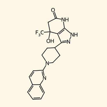 O=C1CC(O)(C(F)(F)F)c2c(C3CCN(c4ccc5ccccc5n4)CC3)n[nH]c2N1